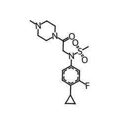 CN1CCN(C(=O)CN(c2ccc(C3CC3)c(F)c2)S(C)(=O)=O)CC1